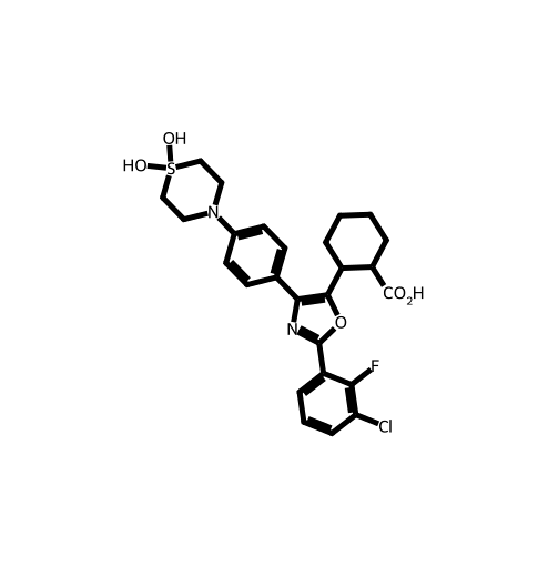 O=C(O)C1CCCCC1c1oc(-c2cccc(Cl)c2F)nc1-c1ccc(N2CCS(O)(O)CC2)cc1